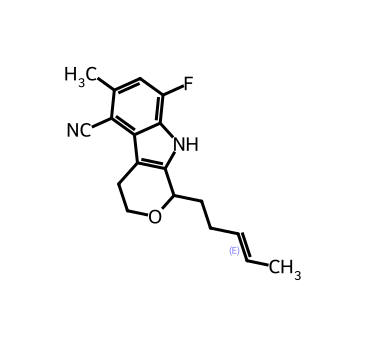 C/C=C/CCC1OCCc2c1[nH]c1c(F)cc(C)c(C#N)c21